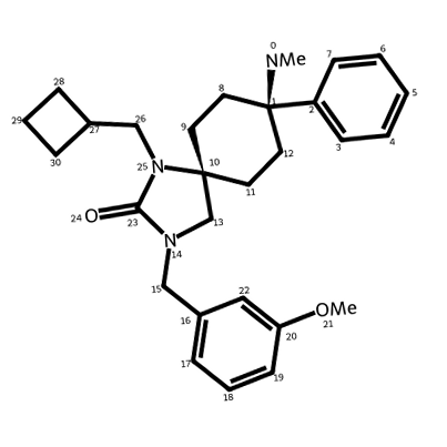 CN[C@]1(c2ccccc2)CC[C@@]2(CC1)CN(Cc1cccc(OC)c1)C(=O)N2CC1CCC1